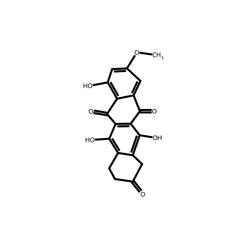 COc1cc(O)c2c(c1)C(=O)c1c(O)c3c(c(O)c1C2=O)CCC(=O)C3